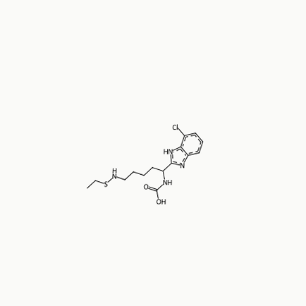 CCSNCCCCC(NC(=O)O)c1nc2cccc(Cl)c2[nH]1